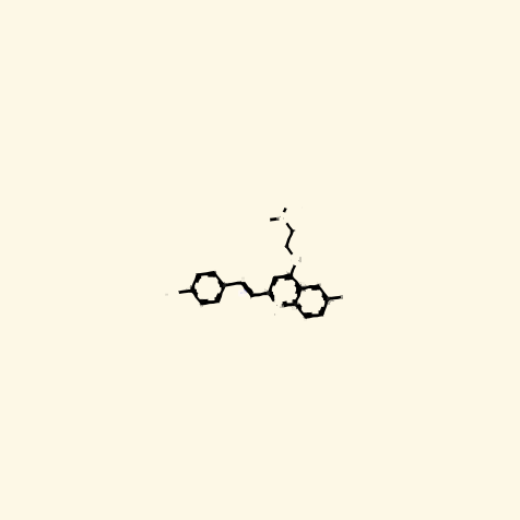 CN(C)CCNc1cc(/C=C/c2ccc(F)cc2)nc2ccc(F)cc12